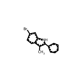 Cc1c(-c2ccccc2)[nH]c2cc(Br)ccc12